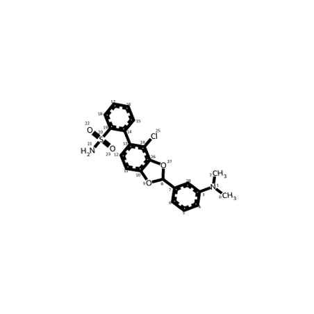 CN(C)c1cccc(C2Oc3ccc(-c4ccccc4S(N)(=O)=O)c(Cl)c3O2)c1